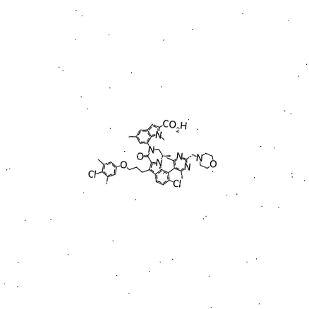 Cc1cc(N2C[C@@H](C)n3c(c(CCCOc4cc(C)c(Cl)c(C)c4)c4ccc(Cl)c(-c5c(C)nc(CN6CCOCC6)nc5C)c43)C2=O)c2c(c1)cc(C(=O)O)n2C